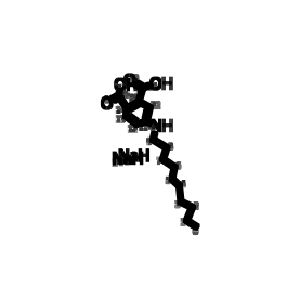 CCCCCCCCCCNc1ccc(C(=O)O)c(C(=O)O)c1.[NaH].[NaH]